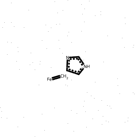 [CH2]=[Fe].c1c[nH]cn1